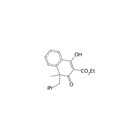 CCOC(=O)C1=C(O)c2ccccc2C(C)(CC(C)C)C1=O